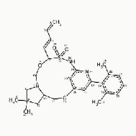 C=CC=CC1OCN2CC(C)(C)CC2COc2cc(-c3c(C)cccc3C)nc(n2)NS1(=O)=O